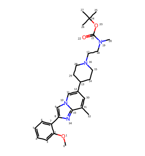 COc1ccccc1-c1cn2cc(C3CCN(CCN(C)C(=O)OC(C)(C)C)CC3)cc(C)c2n1